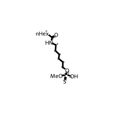 CCCCCCC(=O)NCCCCCCOP(O)(=S)OC